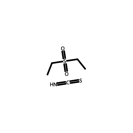 CCS(=O)(=O)CC.N=C=S